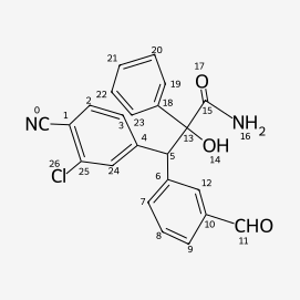 N#Cc1ccc(C(c2cccc(C=O)c2)C(O)(C(N)=O)c2ccccc2)cc1Cl